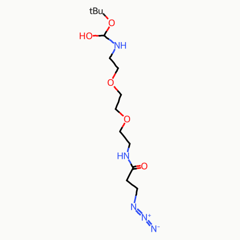 CC(C)(C)OC(O)NCCOCCOCCNC(=O)CCN=[N+]=[N-]